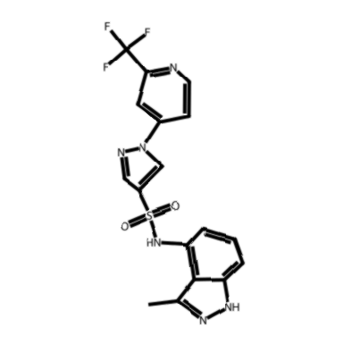 Cc1n[nH]c2cccc(NS(=O)(=O)c3cnn(-c4ccnc(C(F)(F)F)c4)c3)c12